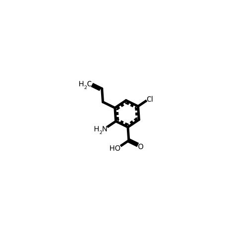 C=CCc1cc(Cl)cc(C(=O)O)c1N